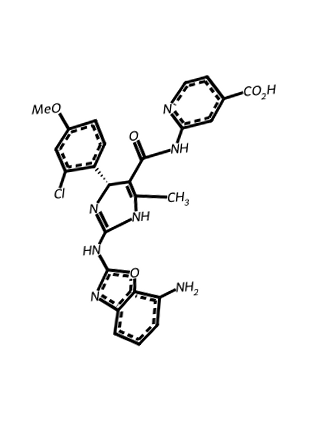 COc1ccc([C@H]2N=C(Nc3nc4cccc(N)c4o3)NC(C)=C2C(=O)Nc2cc(C(=O)O)ccn2)c(Cl)c1